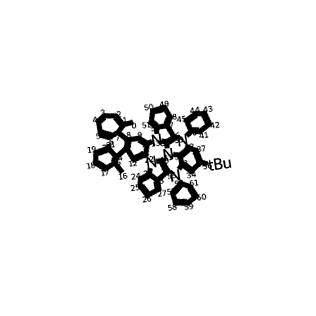 CC1=CC=CC#CC1c1cc2c(cc1-c1c(C)cccc1C)n1c3ccccc3c3c1n1c4c(cc(C(C)(C)C)cc4n(-c4ccccc4)c4c5ccccc5n2c41)n3-c1ccccc1